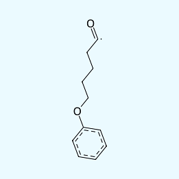 O=[C]CCCCOc1ccccc1